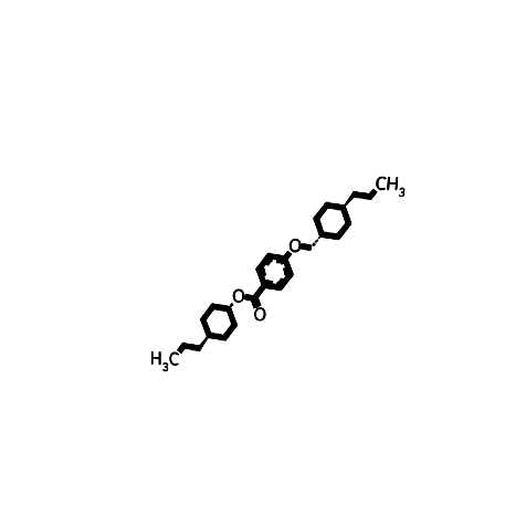 CCC[C@H]1CC[C@H](COc2ccc(C(=O)O[C@H]3CC[C@H](CCC)CC3)cc2)CC1